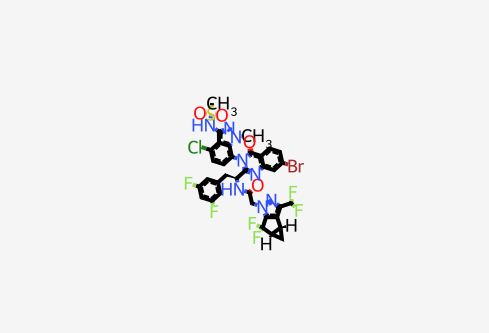 Cn1nc(NS(C)(=O)=O)c2c(Cl)ccc(-n3c([C@H](Cc4cc(F)cc(F)c4)NC(=O)Cn4nc(C(F)F)c5c4C(F)(F)[C@H]4C[C@@H]54)nc4cc(Br)ccc4c3=O)c21